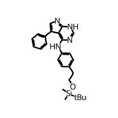 CC(C)(C)[Si](C)(C)OCCc1ccc(Nc2nc[nH]c3ncc(-c4ccccc4)c2-3)cc1